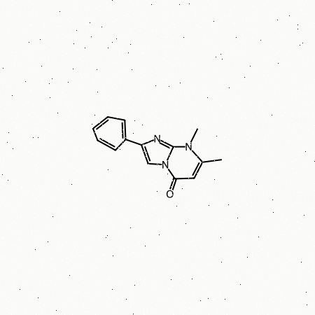 Cc1cc(=O)n2cc(-c3ccccc3)nc2n1C